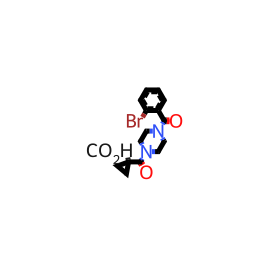 O=C(c1ccccc1Br)N1CCN(C(=O)C2(C(=O)O)CC2)CC1